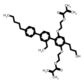 C=C(C)C(=O)OCCOc1cc(-c2ccc(-c3ccc(CCCCC)cc3)cc2CC)c(OCCOC(=O)C(=C)C)cc1CCCO